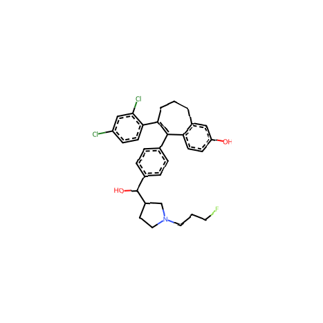 Oc1ccc2c(c1)CCCC(c1ccc(Cl)cc1Cl)=C2c1ccc(C(O)C2CCN(CCCF)C2)cc1